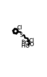 O=C(O)C(Cl)(Br)CCCSCc1ccccc1Cl